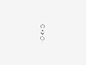 CC(C)C1CCN(c2ncc([C@H]3CC[C@@H](C(C)C)CC3)cn2)CC1